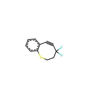 FC1(F)C#Cc2ccccc2SCC1